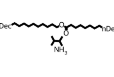 CC(C)C(C)C.CCCCCCCCCCCCCCCCCCCCOC(=O)CCCCCCCCCCCCCCCCC.N